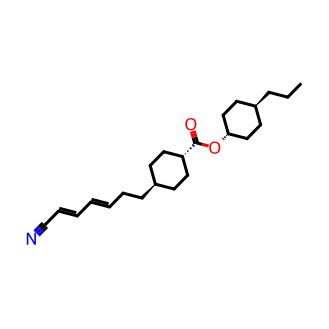 CCC[C@H]1CC[C@H](OC(=O)[C@H]2CC[C@H](CCC=CC=CC#N)CC2)CC1